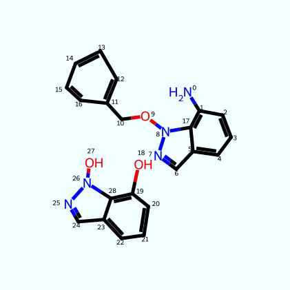 Nc1cccc2cnn(OCc3ccccc3)c12.Oc1cccc2cnn(O)c12